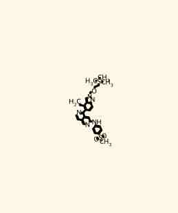 C=Cc1c(-c2nccc3cnc(Nc4ccc(S(C)(=O)=O)cc4)cc23)ccc2nn(COCC[Si](C)(C)C)cc12